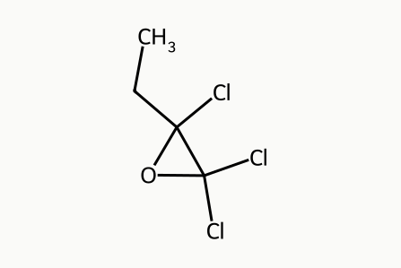 CCC1(Cl)OC1(Cl)Cl